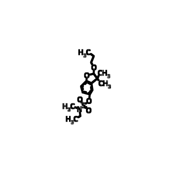 CCCOC1Oc2ccc(OS(=O)(=O)N(C)CC)cc2C1(C)C